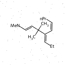 CC/C=C(\C=C/CCC)C(C)(C)/C=C/NC